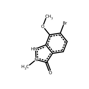 COc1c(Br)ccc2c(=O)n(C)[nH]c12